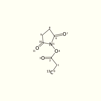 [13CH3]CC(=O)ON1C(=O)CCC1=O